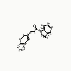 O=C(C=Cc1ccc2c(c1)OCO2)n1nnc2ccccc21